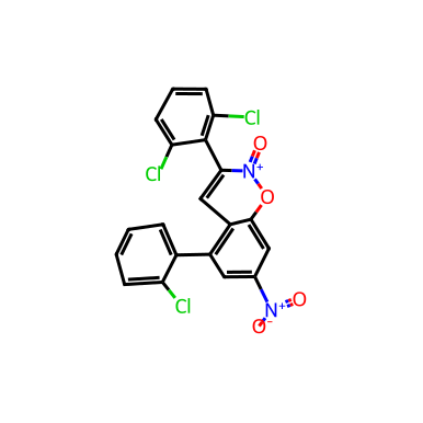 O=[N+]([O-])c1cc(-c2ccccc2Cl)c2cc(-c3c(Cl)cccc3Cl)[n+](=O)oc2c1